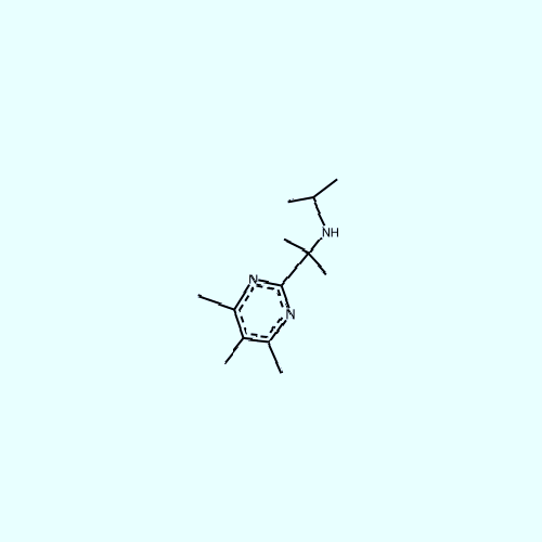 Cc1nc(C(C)(C)NC(C)C)nc(C)c1C